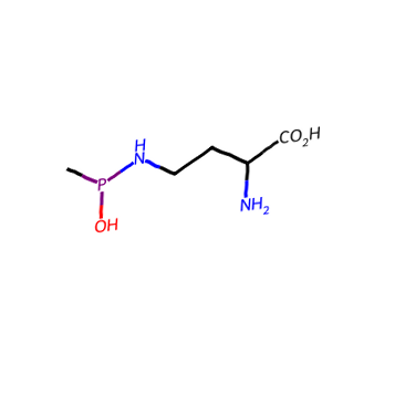 CP(O)NCCC(N)C(=O)O